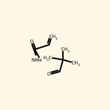 C=CC(=O)NC.CC(C)(C)C=O